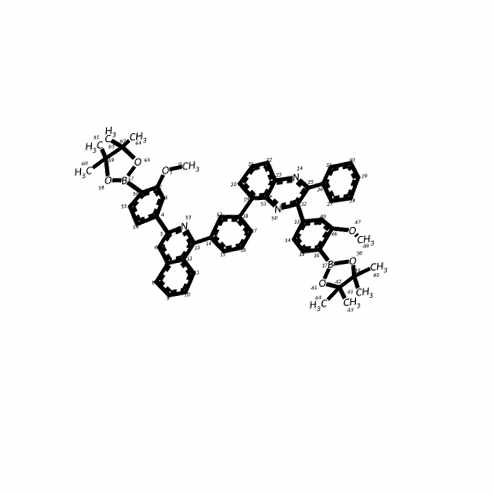 COc1cc(-c2cc3ccccc3c(-c3cccc(-c4cccc5nc(-c6ccccc6)c(-c6ccc(B7OC(C)(C)C(C)(C)O7)c(OC)c6)nc45)c3)n2)ccc1B1OC(C)(C)C(C)(C)O1